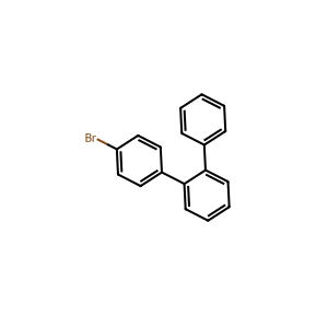 Brc1ccc(-c2ccccc2-c2ccccc2)cc1